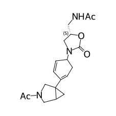 CC(=O)NC[C@H]1CN(C2C=CC(C34CC3CN(C(C)=O)C4)=CC2)C(=O)O1